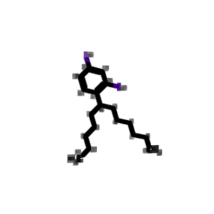 CCCCCCC(CCCCC)c1ccc(I)cc1I